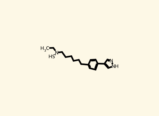 CCN(S)CCCCCCc1ccc(-c2cn[nH]c2)cc1